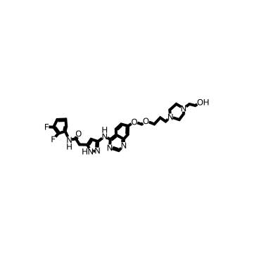 O=C(Cc1cc(Nc2ncnc3cc(OCOCCCN4CCN(CCO)CC4)ccc23)n[nH]1)Nc1cccc(F)c1F